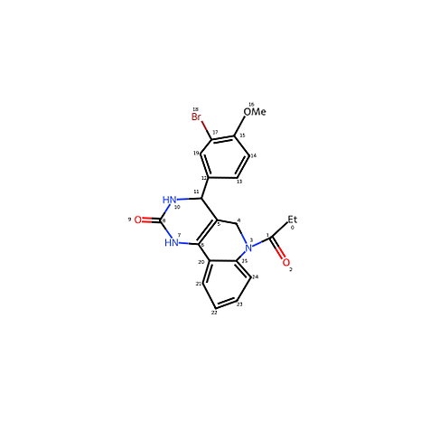 CCC(=O)N1CC2=C(NC(=O)NC2c2ccc(OC)c(Br)c2)c2ccccc21